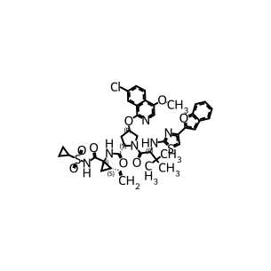 C=C[C@@H]1C[C@]1(NC(=O)[C@@H]1C[C@@H](Oc2ncc(OC)c3ccc(Cl)cc23)CN1C(=O)[C@@H](Nc1nc(-c2cc3ccccc3o2)cs1)C(C)(C)C)C(=O)NS(=O)(=O)C1CC1